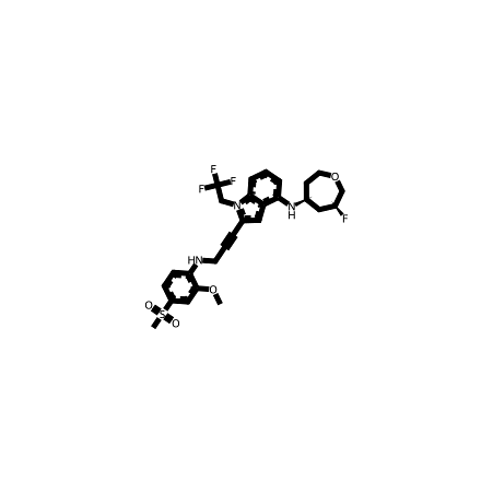 COc1cc(S(C)(=O)=O)ccc1NCC#Cc1cc2c(N[C@H]3CCOC[C@@H](F)C3)cccc2n1CC(F)(F)F